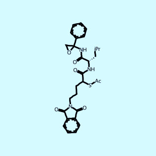 CC(=O)SC(CCCN1C(=O)c2ccccc2C1=O)C(=O)N[C@@H](CC(C)C)C(=O)NC1(c2ccccc2)CO1